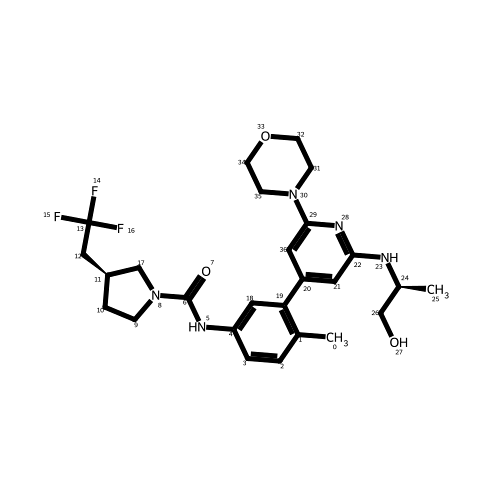 Cc1ccc(NC(=O)N2CC[C@@H](CC(F)(F)F)C2)cc1-c1cc(N[C@@H](C)CO)nc(N2CCOCC2)c1